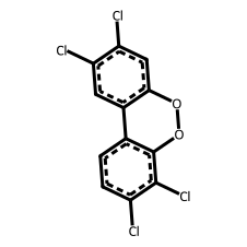 Clc1cc2c(cc1Cl)-c1ccc(Cl)c(Cl)c1OO2